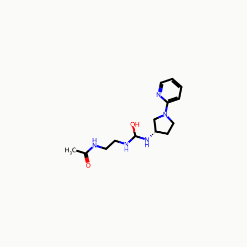 CC(=O)NCCNC(O)N[C@H]1CCN(c2ccccn2)C1